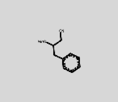 COC(CC#N)Cc1ccccc1